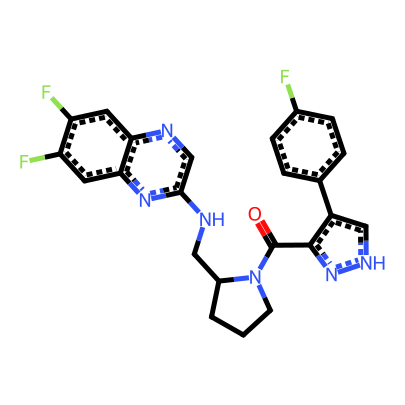 O=C(c1n[nH]cc1-c1ccc(F)cc1)N1CCCC1CNc1cnc2cc(F)c(F)cc2n1